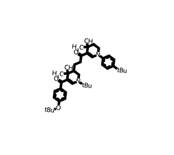 CC(C)(C)Oc1ccc(C(=O)C2=CN(C(C)(C)C)CC(CCC(=O)C3=CN(c4ccc(C(C)(C)C)cc4)CCC3(C)C)C2(C)C)cc1